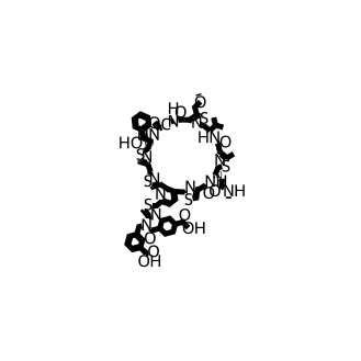 CNC(=O)C[C@@H]1NC(=O)c2csc(n2)-c2ccc(-c3nc(N(Cc4cccc(C(=O)O)c4)C(=O)C4CCC(C(=O)O)CC4)cs3)nc2-c2csc(n2)-c2csc(n2)[C@H]([C@@H](O)c2ccccc2)NC(=O)CNC(=O)c2nc(sc2COC)C(C(C)C)NC(=O)c2nc1sc2C